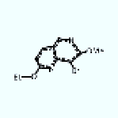 CCOc1ccc2cnc(OC)c(Br)c2n1